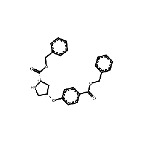 O=C(OCc1ccccc1)c1ccc(O[C@@H]2CN[C@H](C(=O)OCc3ccccc3)C2)cc1